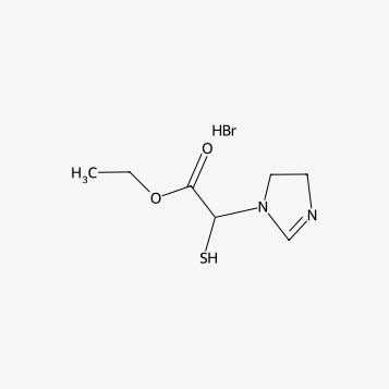 Br.CCOC(=O)C(S)N1C=NCC1